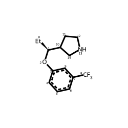 CC[C@H](Oc1cccc(C(F)(F)F)c1)C1CCNC1